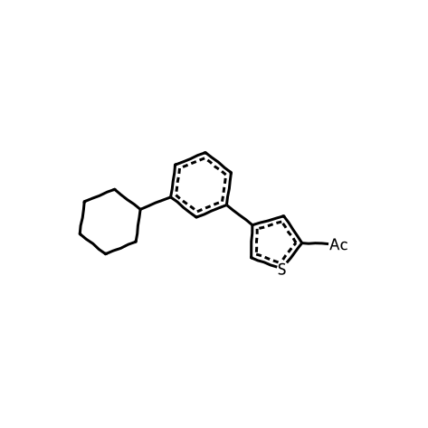 CC(=O)c1cc(-c2cccc(C3CCCCC3)c2)cs1